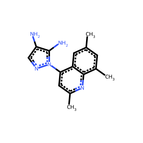 Cc1cc(C)c2nc(C)cc(-n3ncc(N)c3N)c2c1